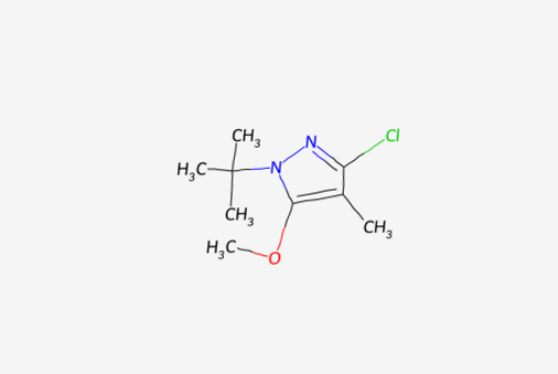 COc1c(C)c(Cl)nn1C(C)(C)C